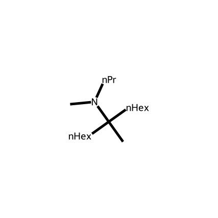 CCCCCCC(C)(CCCCCC)N(C)CCC